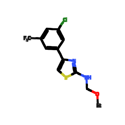 CCOCNc1nc(-c2cc(Cl)cc(C(F)(F)F)c2)cs1